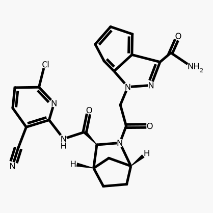 N#Cc1ccc(Cl)nc1NC(=O)[C@@H]1[C@H]2CC[C@H](C2)N1C(=O)Cn1nc(C(N)=O)c2ccccc21